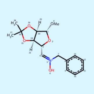 CO[C@@H]1O[C@H](/C=[N+](/O)Cc2ccccc2)[C@H]2OC(C)(C)O[C@@H]12